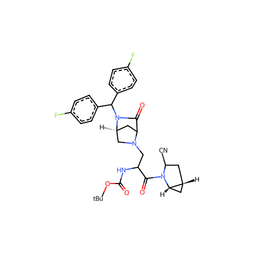 CC(C)(C)OC(=O)NC(CN1C[C@@H]2CC1C(=O)N2C(c1ccc(F)cc1)c1ccc(F)cc1)C(=O)N1C(C#N)C[C@@H]2C[C@@H]21